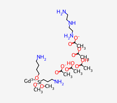 CC(=O)O.CC(=O)O.CC(=O)[O-].CC(=O)[O-].CC(=O)[O-].CO[Si](CCCN)(OC)OCCCCN.NCCNCCN.[Gd+3]